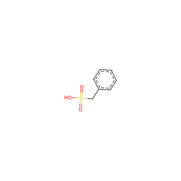 O=S(=O)(O)Cc1cc[c]cc1